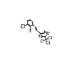 Fc1c(Cl)cccc1C=Cc1noc(C(Cl)(Cl)Cl)n1